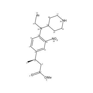 COC(=O)C[C@@H](C)c1ccc(N(CC(C)C)C2CCNCC2)c([N+](=O)[O-])c1